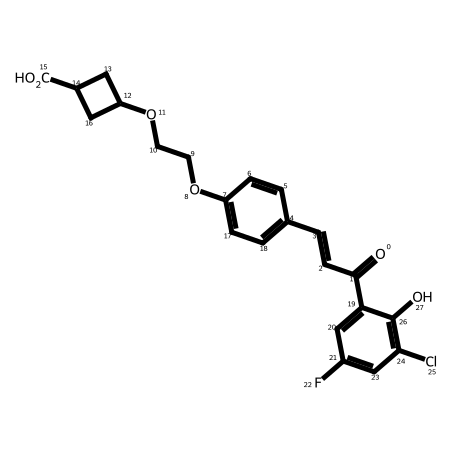 O=C(/C=C/c1ccc(OCCOC2CC(C(=O)O)C2)cc1)c1cc(F)cc(Cl)c1O